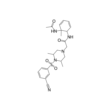 CC(=O)NC1(C)C=CC=CC1NC(=O)CN1CC(C)N(S(=O)(=O)c2cccc(C#N)c2)C(C)C1